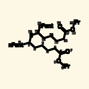 CCCCCC(CCCCC(=O)OC(C)C)SC(CCCCC)CCCCC(=O)OC(C)C